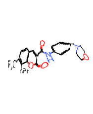 CCCc1c(C(F)(F)F)ccc2cc(C(=O)Nc3ccc(CN4CCOCC4)cc3)c(=O)oc12